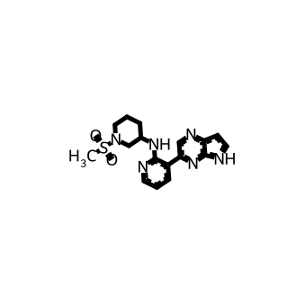 CS(=O)(=O)N1CCCC(Nc2ncccc2-c2cnc3cc[nH]c3n2)C1